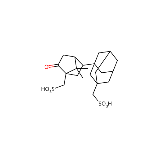 CC1(C)C2CC(=O)C1(CS(=O)(=O)O)CC2C12CC3CC(CC(CS(=O)(=O)O)(C3)C1)C2